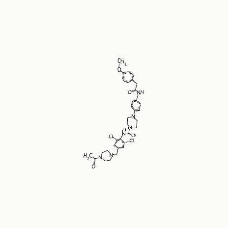 COc1ccc(CC(=O)Nc2ccc(N3CCN(C(=O)Nc4c(Cl)cc(CN5CCN(C(C)=O)CC5)cc4Cl)CC3)cc2)cc1